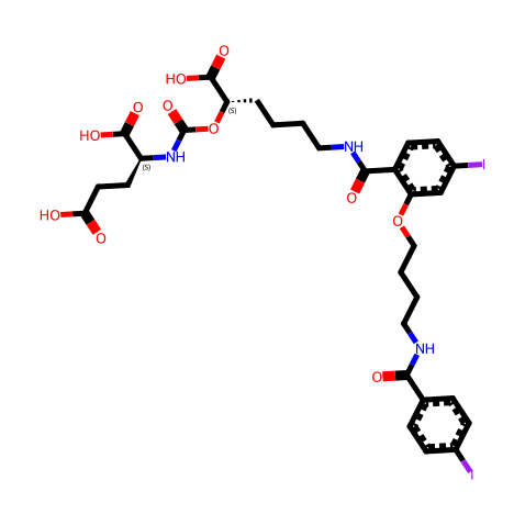 O=C(O)CC[C@H](NC(=O)O[C@@H](CCCCNC(=O)c1ccc(I)cc1OCCCCNC(=O)c1ccc(I)cc1)C(=O)O)C(=O)O